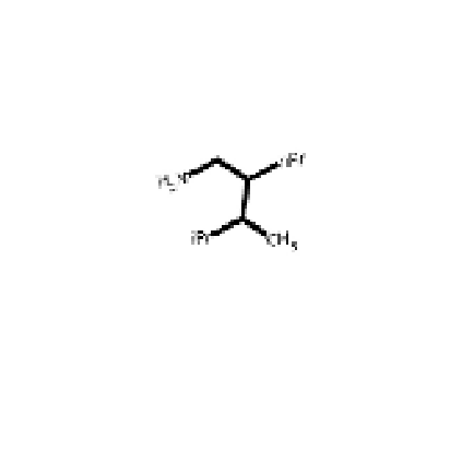 CCCC(CN)C(C)C(C)C